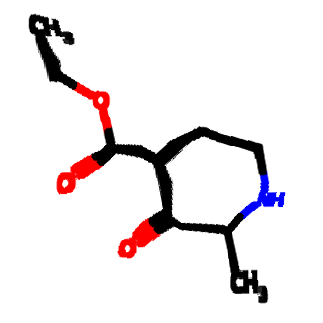 CCOC(=O)C1CCNC(C)C1=O